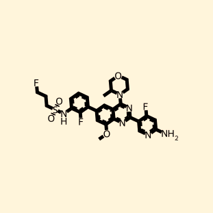 COc1cc(-c2cccc(NS(=O)(=O)CCCF)c2F)cc2c(N3CCOCC3C)nc(-c3cnc(N)cc3F)nc12